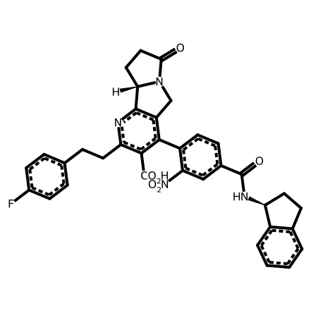 O=C(N[C@H]1CCc2ccccc21)c1ccc(-c2c3c(nc(CCc4ccc(F)cc4)c2C(=O)O)[C@@H]2CCC(=O)N2C3)c([N+](=O)[O-])c1